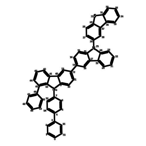 c1ccc(-c2ccc(-n3c4ccc(-c5ccc6c(c5)c5ccccc5n6-c5ccc6sc7ccccc7c6c5)cc4c4cccc(-c5ccccc5)c43)cc2)cc1